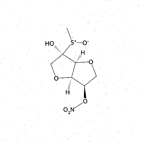 C[S+]([O-])[C@]1(O)CO[C@@H]2[C@H](O[N+](=O)[O-])CO[C@@H]21